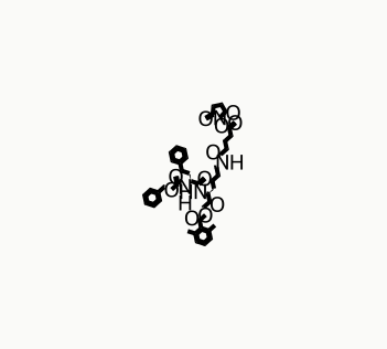 Cc1cccc(C)c1C(=O)OCC(=O)[C@@H](CCCCNC(=O)CCCC(=O)ON1C(=O)CCC1=O)NC(=O)[C@@H](CCc1ccccc1)NC(=O)OCc1ccccc1